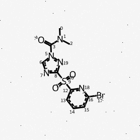 CN(C)C(=O)n1cnc(S(=O)(=O)c2cccc(Br)n2)n1